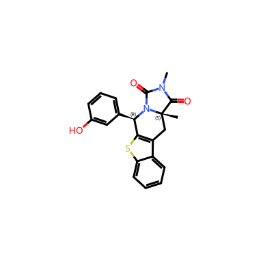 CN1C(=O)N2[C@H](c3cccc(O)c3)c3sc4ccccc4c3C[C@@]2(C)C1=O